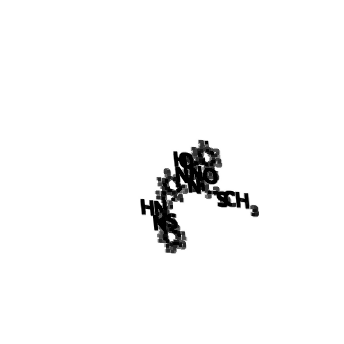 CSCC[C@@H]1N=C(Nc2ccc(CCNc3nc4ccccc4s3)cc2)N(C(=O)c2ccccc2)C1=O